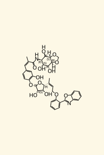 CC(=Cc1ccc(O[C@@H]2O[C@H](C(C)=CCOc3ccccc3-c3nc4ccccc4o3)[C@@H](O)[C@@H]2O)c(O)c1)C(=O)N[C@@H]1[C@H](O)[C@@H](O)[C@H]2OCO[C@H]2[C@@H]1O